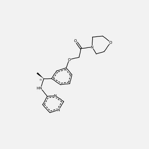 C[C@H](Nc1ccncn1)c1cccc(OCC(=O)N2CCOCC2)c1